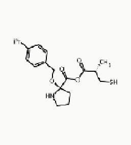 CC(C)c1ccc(CO[C@@]2(C(=O)OC(=O)[C@H](C)CS)CCCN2)cc1